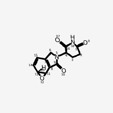 O=C1CCC(N2CC3=C(C2=O)C2O[C@@H]2C=C3)C(=O)N1